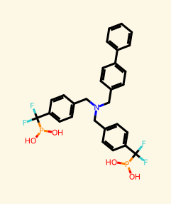 OP(O)C(F)(F)c1ccc(CN(Cc2ccc(-c3ccccc3)cc2)Cc2ccc(C(F)(F)P(O)O)cc2)cc1